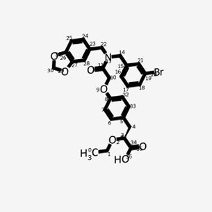 CCO[C@@H](Cc1ccc(OCC(=O)N(Cc2cccc(Br)c2)Cc2ccc3c(c2)OCO3)cc1)C(=O)O